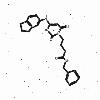 O=C(CCCn1c(=O)cc(Nc2ccc3c(c2)CCC3)[nH]c1=O)NCc1ccccc1